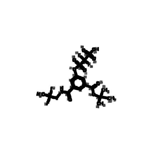 CC(F)(F)CNC(=O)c1cc(OS(=O)(=O)C(F)(F)S(=O)(=O)O)cc(C(=O)OC(C)(C)C)c1